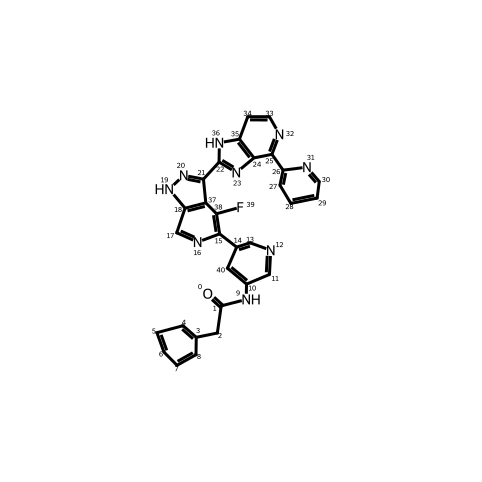 O=C(Cc1ccccc1)Nc1cncc(-c2ncc3[nH]nc(-c4nc5c(-c6ccccn6)nccc5[nH]4)c3c2F)c1